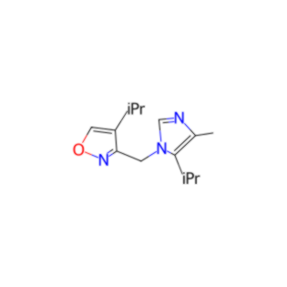 Cc1ncn(Cc2nocc2C(C)C)c1C(C)C